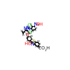 C\C=C(Cl)/C(=C(Cl)\C=N\O)n1nnc(C2CC2)c1COC1CCC(O)(c2nc3cc(C(=O)O)ccc3s2)CC1